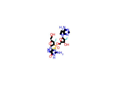 Nc1nc2c(nnn2[C@@H]2O[C@H](CCO)[C@H](F)[C@H]2P(=O)(S)OC[C@H]2O[C@@H](n3ccc4c(N)ncnc43)[C@@H](F)[C@@H]2O)c(=O)[nH]1